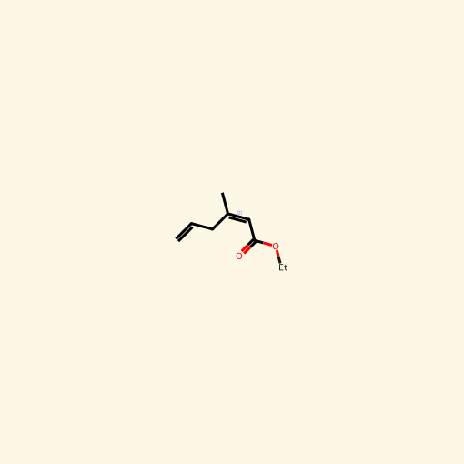 C=CC/C(C)=C\C(=O)OCC